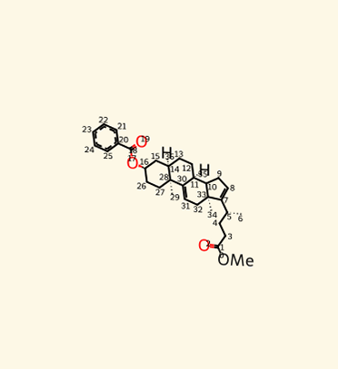 COC(=O)CC[C@@H](C)C1=CCC2[C@@H]3CC[C@@H]4C[C@H](OC(=O)c5ccccc5)CC[C@]4(C)C3=CC[C@]12C